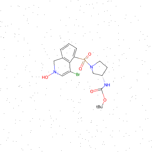 CC(C)(C)OC(=O)N[C@H]1CCN(S(=O)(=O)c2cccc3c2C(Br)=CN(O)C3)C1